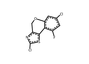 Fc1cc(Cl)cc2c1-c1sc(Cl)nc1CO2